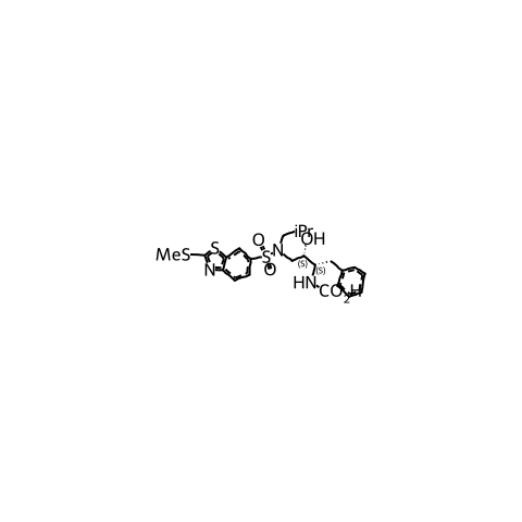 CSc1nc2ccc(S(=O)(=O)N(CC(C)C)C[C@H](O)[C@H](Cc3ccccc3)NC(=O)O)cc2s1